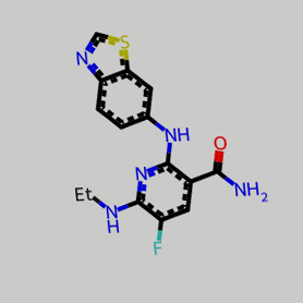 CCNc1nc(Nc2ccc3ncsc3c2)c(C(N)=O)cc1F